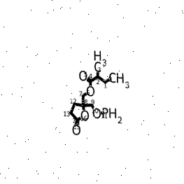 CCC(C)C(=O)OCC1(COP)CCC(=O)O1